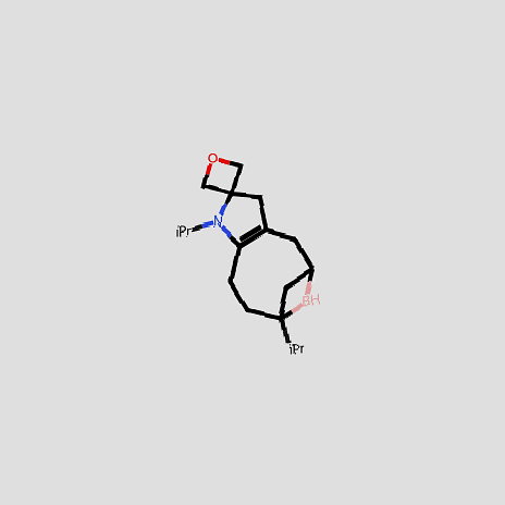 CC(C)N1C2=C(CC3BC(C(C)C)(CC2)C3)CC12COC2